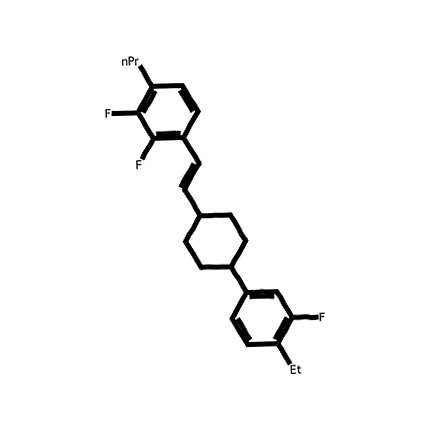 CCCc1ccc(/C=C/C2CCC(c3ccc(CC)c(F)c3)CC2)c(F)c1F